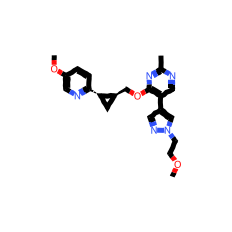 COCCn1cc(-c2cnc(C)nc2OC[C@H]2C[C@@H]2c2ccc(OC)cn2)cn1